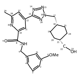 COc1cccc(CNC(=O)c2cc(-c3nnn(C[C@H]4CC[C@@H](CO)CC4)n3)cc(C)n2)c1